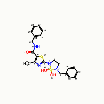 Cc1nc(N2CCN(Cc3ccccc3)S2(O)O)sc1C(=O)NCc1ccccc1